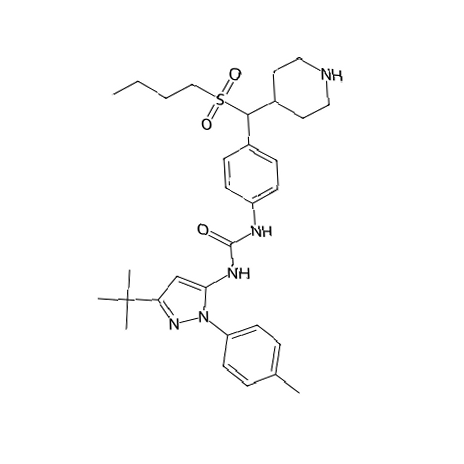 CCCCS(=O)(=O)C(c1ccc(NC(=O)Nc2cc(C(C)(C)C)nn2-c2ccc(C)cc2)cc1)C1CCNCC1